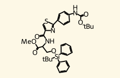 COC(=O)C(CO[Si](c1ccccc1)(c1ccccc1)C(C)(C)C)NC(=O)c1csc(-c2ccc(NC(=O)OC(C)(C)C)cc2)n1